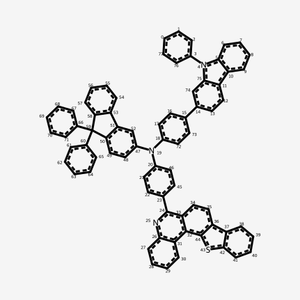 c1ccc(-n2c3ccccc3c3ccc(-c4ccc(N(c5ccc(-c6nc7ccccc7c7c6ccc6c8ccccc8sc67)cc5)c5ccc6c(c5)-c5ccccc5C6(c5ccccc5)c5ccccc5)cc4)cc32)cc1